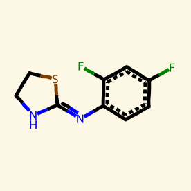 Fc1ccc(/N=C2/NCCS2)c(F)c1